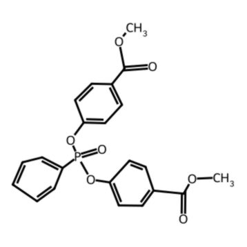 COC(=O)c1ccc(OP(=O)(Oc2ccc(C(=O)OC)cc2)c2ccccc2)cc1